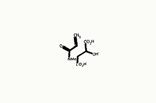 C=CC(=O)NC.O=C(O)CC(O)C(=O)O